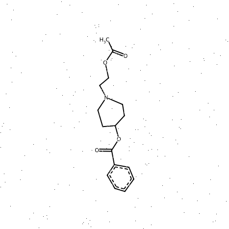 CC(=O)OCCN1CCC(OC(=O)c2ccccc2)CC1